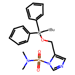 CN(C)S(=O)(=O)n1cncc1CO[Si](c1ccccc1)(c1ccccc1)C(C)(C)C